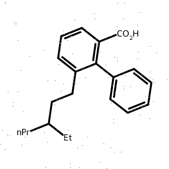 CCCC(CC)CCc1cccc(C(=O)O)c1-c1ccccc1